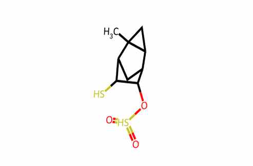 CC12CC1C1CC2C(S)C1O[SH](=O)=O